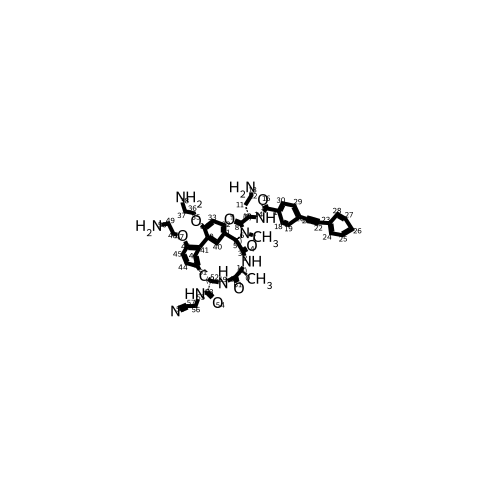 C[C@@H]1NC(=O)[C@@H](N(C)C(=O)[C@H](CCN)NC(=O)c2ccc(C#Cc3ccccc3)cc2)c2ccc(OCCN)c(c2)-c2cc(ccc2OCCN)C[C@@H](C(=O)NCC#N)NC1=O